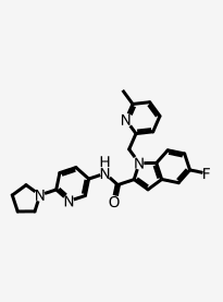 Cc1cccc(Cn2c(C(=O)Nc3ccc(N4CCCC4)nc3)cc3cc(F)ccc32)n1